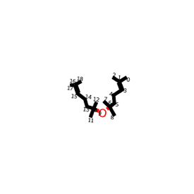 CC(C)=CCCC(C)(C)OC(C)(C)CCC=C(C)C